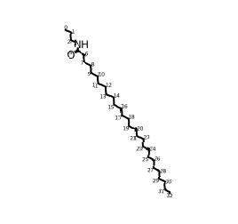 CC[CH]NC(=O)CCCCCCCCCCCCCCCCCCCCCCCCCCC